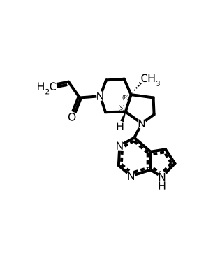 C=CC(=O)N1CC[C@@]2(C)CCN(c3ncnc4[nH]ccc34)[C@@H]2C1